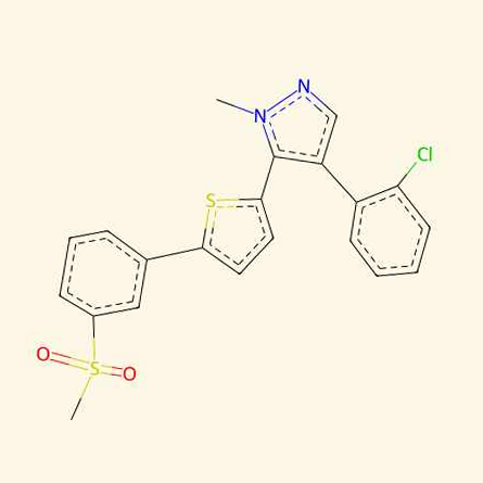 Cn1ncc(-c2ccccc2Cl)c1-c1ccc(-c2cccc(S(C)(=O)=O)c2)s1